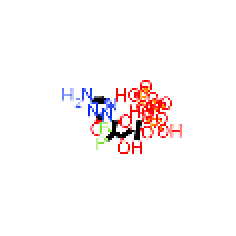 CC(C)(OP(=O)(O)OP(=O)(O)OP(=O)(O)O)[C@H]1O[C@@H](n2ncc(N)nc2=O)[C@@](F)(CF)C1O